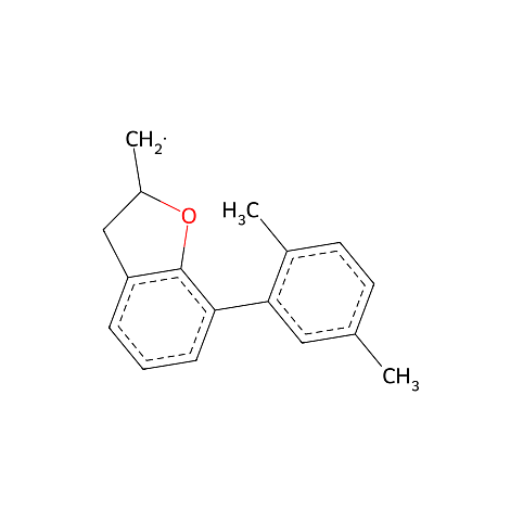 [CH2]C1Cc2cccc(-c3cc(C)ccc3C)c2O1